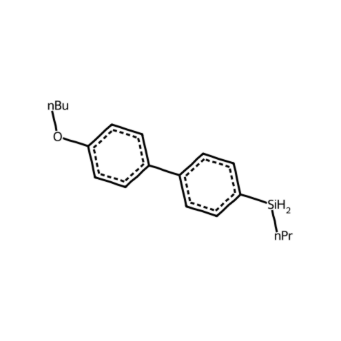 CCCCOc1ccc(-c2ccc([SiH2]CCC)cc2)cc1